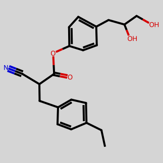 CCc1ccc(CC(C#N)C(=O)Oc2ccc(CC(O)CO)cc2)cc1